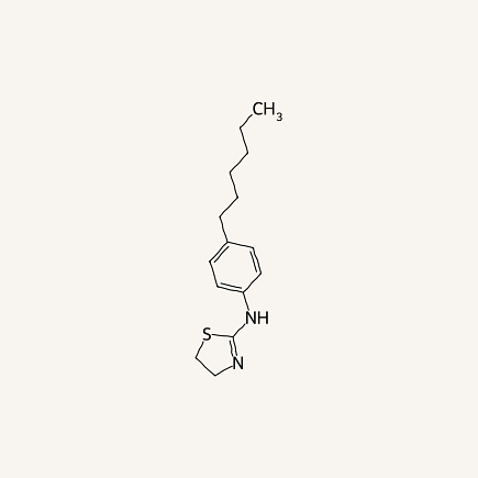 CCCCCCc1ccc(NC2=NCCS2)cc1